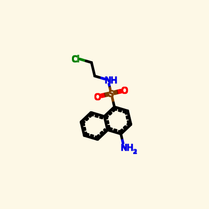 Nc1ccc(S(=O)(=O)NCCCl)c2ccccc12